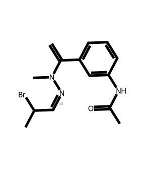 C=C(c1cccc(NC(C)=O)c1)N(C)/N=C\C(C)Br